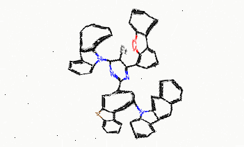 CCC1C(c2cccc3c2oc2ccccc23)=NC(c2cc(-n3c4ccccc4c4cc5ccccc5cc43)c3c(c2)sc2ccccc23)=NC1n1c2ccccc2c2ccccc21